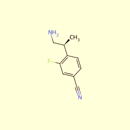 C[C@H](CN)c1ccc(C#N)cc1F